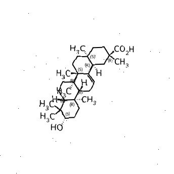 CC1(C)[C@@H](O)CC[C@]2(C)[C@H]3CC=C4[C@@H]5C[C@](C)(C(=O)O)CC[C@]5(C)CC[C@@]4(C)[C@]3(C)CC[C@@H]12